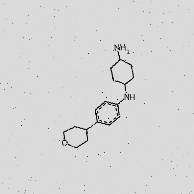 NC1CCC(Nc2ccc(C3CCOCC3)cc2)CC1